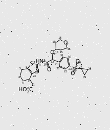 O=C(O)CC1CCCc2sc(NC(=O)C(OC3CCOCC3)c3ccc(S(=O)(=O)C4CC4)cc3)nc21